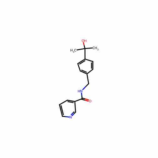 CC(C)(O)c1ccc(CNC(=O)c2cccnc2)cc1